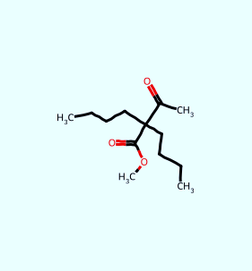 CCCCC(CCCC)(C(C)=O)C(=O)OC